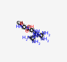 CCC(=O)Nc1ccc(N(O)C(=O)c2ccc(Nc3nc(N4C[C@H](N)C[C@H](N)C4)nc(N4C[C@H](N)C[C@H](N)C4)n3)cc2)cc1